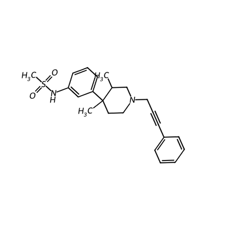 CC1CN(CC#Cc2ccccc2)CCC1(C)c1cccc(NS(C)(=O)=O)c1